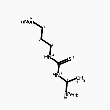 CCCCCCCCCCCCNC(=S)NC(C)CCCCC